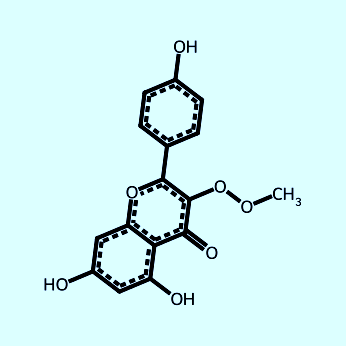 COOc1c(-c2ccc(O)cc2)oc2cc(O)cc(O)c2c1=O